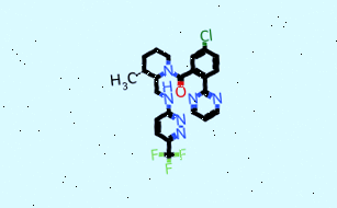 C[C@@H]1CCCN(C(=O)c2cc(Cl)ccc2-c2ncccn2)C1CNc1ccc(C(F)(F)F)nn1